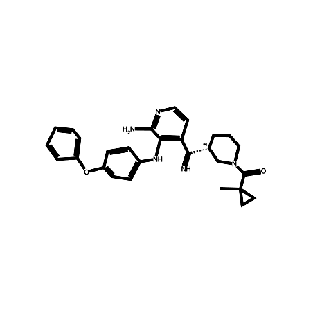 CC1(C(=O)N2CCC[C@@H](C(=N)c3ccnc(N)c3Nc3ccc(Oc4ccccc4)cc3)C2)CC1